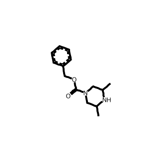 CC1CN(C(=O)OCc2ccccc2)CC(C)N1